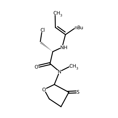 CC=C(CCCC)N[C@@H](CCl)C(=O)N(C)C1OCCC1=S